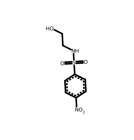 O=[N+]([O-])c1ccc(S(=O)(=O)NCCO)cc1